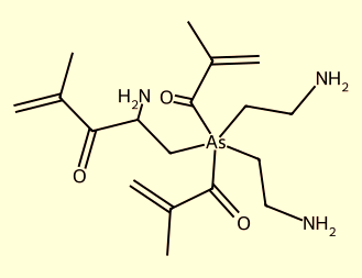 C=C(C)C(=O)C(N)C[As](CCN)(CCN)(C(=O)C(=C)C)C(=O)C(=C)C